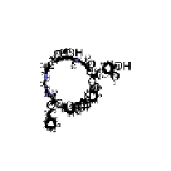 CO[C@@H]1C[C@H](C[C@@H](C)[C@@H]2CC(=O)[C@H](C)/C=C(\C)[C@@H](O)[C@@H](OC)C(=O)[C@H](C)C[C@H](C)/C=C/C=C/C=C(\C)C(OCCc3ccccc3)C[C@@H]3CC[C@@H](C)[C@@](O)(O3)C(=O)C(=O)N3CCCC[C@H]3C(=O)O2)CC[C@H]1O